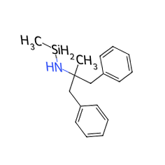 C[SiH2]NC(C)(Cc1ccccc1)Cc1ccccc1